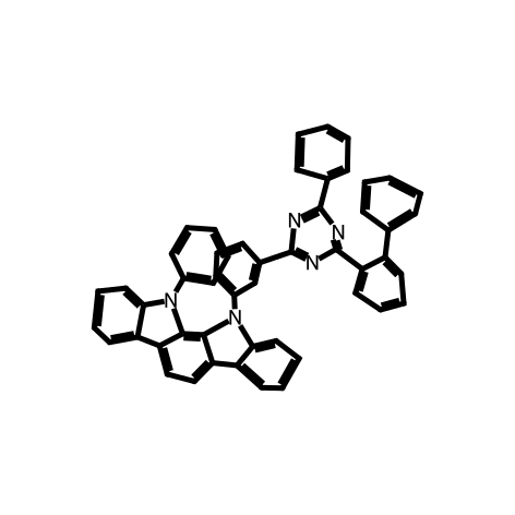 c1ccc(-c2nc(-c3cccc(-n4c5ccccc5c5ccc6c7ccccc7n(-c7ccccc7)c6c54)c3)nc(-c3ccccc3-c3ccccc3)n2)cc1